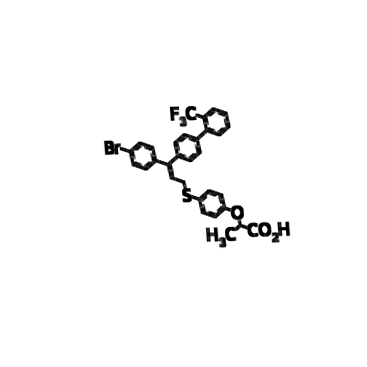 CC(Oc1ccc(SCC=C(c2ccc(Br)cc2)c2ccc(-c3ccccc3C(F)(F)F)cc2)cc1)C(=O)O